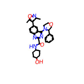 Cc1noc(C)c1-c1ccc2nc(C(=O)NC3CCC(O)CC3)nc(N3CCOCC3c3ccccc3)c2c1